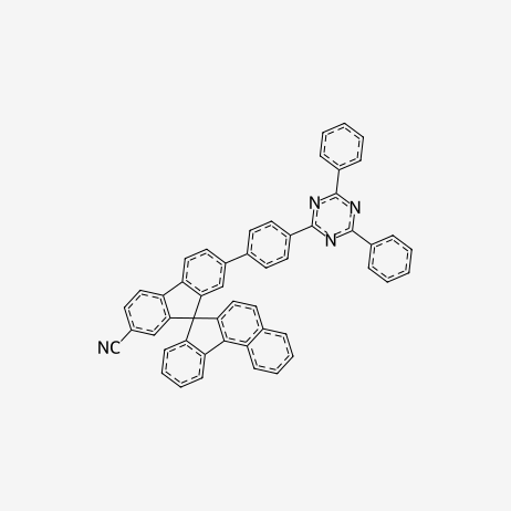 N#Cc1ccc2c(c1)C1(c3cc(-c4ccc(-c5nc(-c6ccccc6)nc(-c6ccccc6)n5)cc4)ccc3-2)c2ccccc2-c2c1ccc1ccccc21